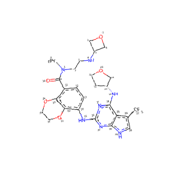 CCCN(CCNC1COC1)C(=O)c1ccc(Nc2nc(N[C@@H]3CCOC3)c3c(C(F)(F)F)c[nH]c3n2)c2c1OCCO2